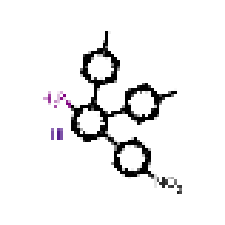 Cc1ccc(-c2c(P)ccc(-c3ccc([N+](=O)[O-])cc3)c2-c2ccc(C)cc2)cc1.I